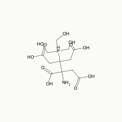 NC(CC(=O)O)(C(=O)O)C(CC(=O)O)(CC(=O)O)[PH](CO)(CO)CO